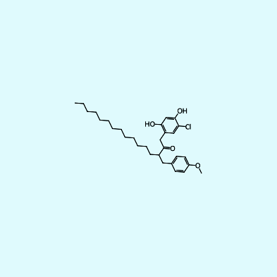 CCCCCCCCCCCCCC(Cc1ccc(OC)cc1)C(=O)Cc1cc(Cl)c(O)cc1O